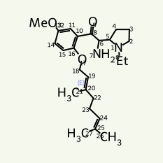 CCN1CCCC1C(N)C(=O)c1cc(OC)ccc1OC/C=C(\C)CCC=C(C)C